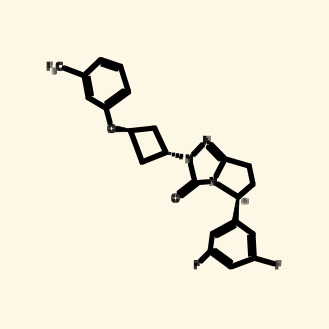 O=c1n2c(nn1[C@H]1C[C@H](Oc3cccc(C(F)(F)F)c3)C1)CC[C@H]2c1cc(F)cc(F)c1